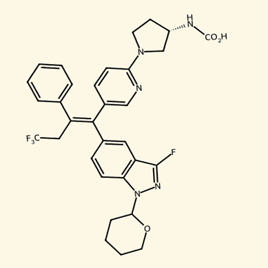 O=C(O)N[C@H]1CCN(c2ccc(/C(=C(/CC(F)(F)F)c3ccccc3)c3ccc4c(c3)c(F)nn4C3CCCCO3)cn2)C1